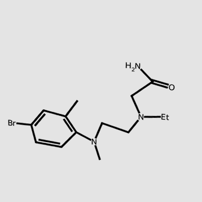 CCN(CCN(C)c1ccc(Br)cc1C)CC(N)=O